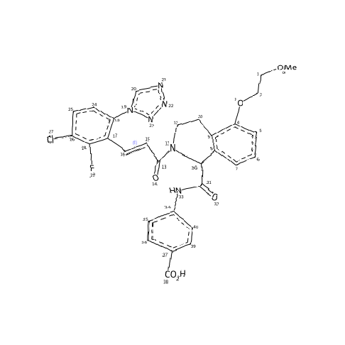 COCCOc1cccc2c1CCN(C(=O)/C=C/c1c(-n3cnnn3)ccc(Cl)c1F)C2C(=O)Nc1ccc(C(=O)O)cc1